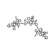 C=CCOC(=O)C1=C(/C=C/COc2cc3c(cc2F)C2(OC(=O)c4ccccc42)c2cc(F)c(OC/C=C/C4=C(C(=O)OCC=C)N5C(=O)C(NC(=O)Cc6cccs6)C5SC4)cc2O3)CSC2C(NC(=O)Cc3cccs3)C(=O)N12